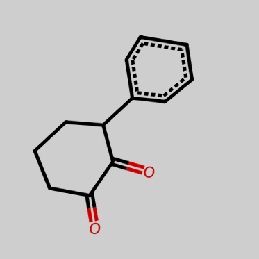 O=C1CCCC(c2ccccc2)C1=O